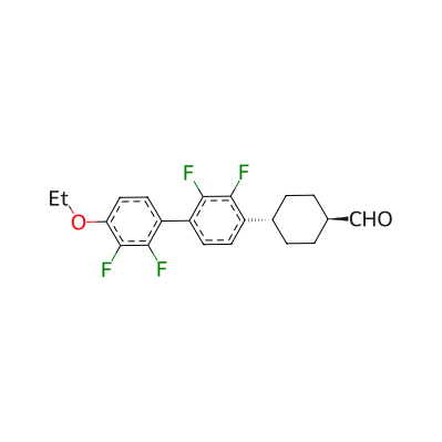 CCOc1ccc(-c2ccc([C@H]3CC[C@H](C=O)CC3)c(F)c2F)c(F)c1F